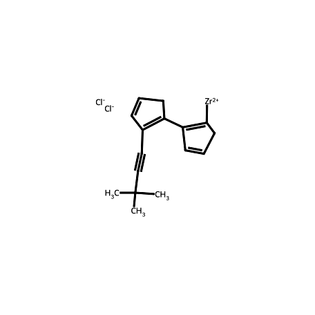 CC(C)(C)C#CC1=C(C2=[C]([Zr+2])CC=C2)CC=C1.[Cl-].[Cl-]